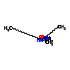 CCCCCCCCCCCCCCCCCCCCCC(=O)NC(CC(C)C)C(=O)NCCCCCCCCCCCC